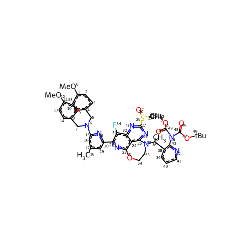 COc1ccc(CN(Cc2ccc(OC)cc2)c2cc(C)cc(-c3nc4c5c(nc([S+](C)[O-])nc5c3F)N(C(C)c3cccnc3N(C(=O)OC(C)(C)C)C(=O)OC(C)(C)C)CCO4)n2)cc1